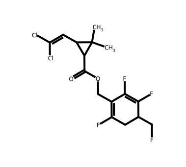 CC1(C)C(C=C(Cl)Cl)C1C(=O)OCC1=C(F)CC(CF)C(F)=C1F